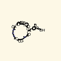 COC1C/C(C)=C/C(C)C(=O)CC([C@H](C)C[C@@H]2CC[C@@H](OCCO)[C@H](OC)C2)OC(=O)C2CCCCN2C(=O)C(=O)C2(O)OC(CCC2C)CC(OC)/C(C)=C/C=C/C=C/C(C)CC(C)C1=O